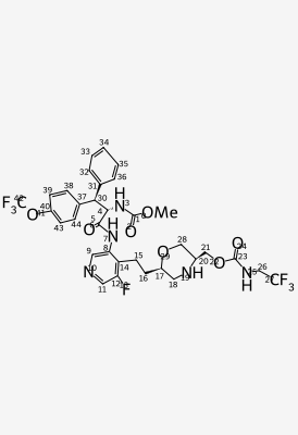 COC(=O)N[C@H](C(=O)Nc1cncc(F)c1CC[C@@H]1CN[C@H](COC(=O)NCC(F)(F)F)CO1)[C@H](c1ccccc1)c1ccc(OC(F)(F)F)cc1